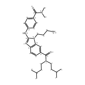 CC(C)CCN(CCC(C)C)C(=O)c1ccc2nc(Nc3ccc(C(=O)N(C)C)cc3)n(CCCN)c2c1